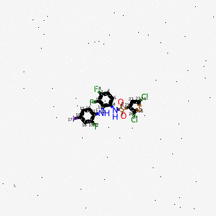 O=S(=O)(Nc1ccc(F)c(F)c1Nc1ccc(I)cc1F)c1cc(Cl)sc1Cl